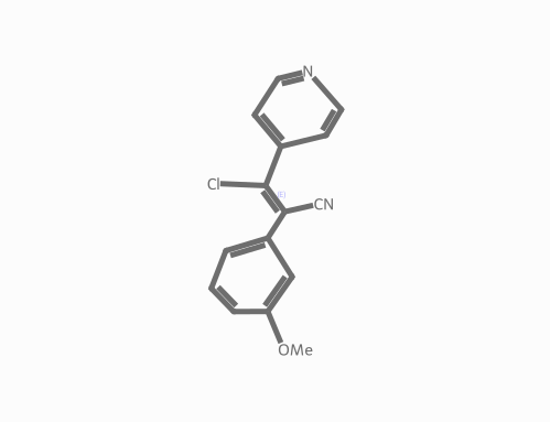 COc1cccc(/C(C#N)=C(\Cl)c2ccncc2)c1